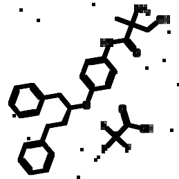 CC(N)(CO)C(=O)Nc1ccc(O[C@@H](CCc2ccccc2)Cc2ccccc2)cc1.O=C(O)C(F)(F)F